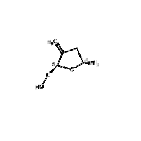 B[C@@H]1CC(=C)[C@H](CO)O1